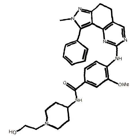 COc1cc(C(=O)NC2CCN(CCO)CC2)ccc1Nc1ncc2c(n1)-c1c(nn(C)c1-c1ccccc1)CC2